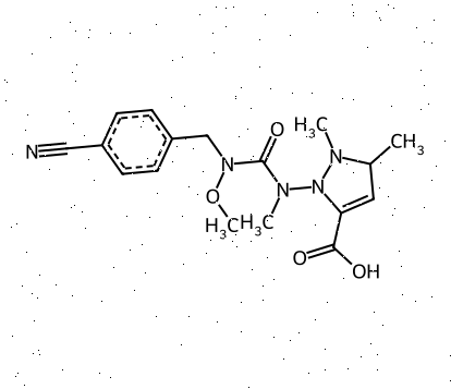 CON(Cc1ccc(C#N)cc1)C(=O)N(C)N1C(C(=O)O)=CC(C)N1C